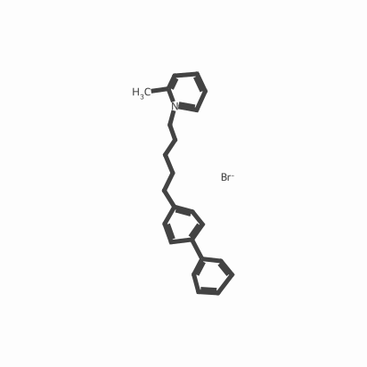 Cc1cccc[n+]1CCCCCc1ccc(-c2ccccc2)cc1.[Br-]